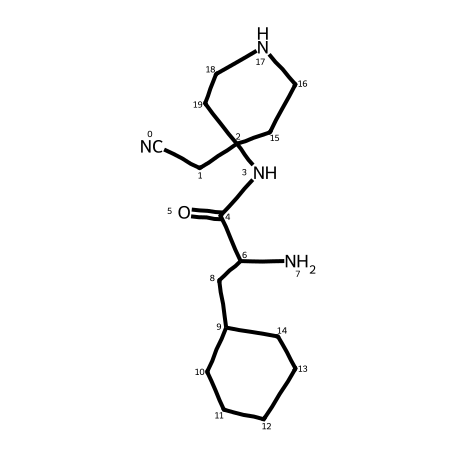 N#CCC1(NC(=O)C(N)CC2CCCCC2)CCNCC1